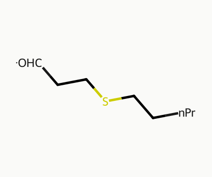 CCCCCSCC[C]=O